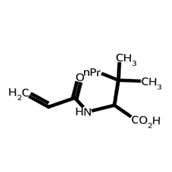 C=CC(=O)NC(C(=O)O)C(C)(C)CCC